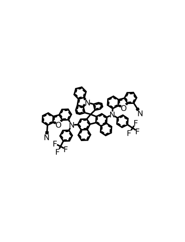 N#Cc1cccc2c1oc1c(N(c3ccc(C(F)(F)F)cc3)c3cc4c(c5ccccc35)-c3c(cc(N(c5ccc(C(F)(F)F)cc5)c5cccc6c5oc5c(C#N)cccc56)c5ccccc35)C43c4ccccc4-n4c5ccccc5c5cccc3c54)cccc12